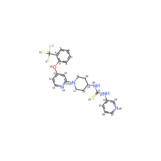 FC(F)(F)c1ccccc1Oc1ccnc(N2CCC(NC(=S)Nc3cccnc3)CC2)c1